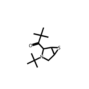 CC(C)(C)C(=O)C1C2SC2CN1C(C)(C)C